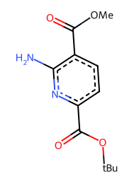 COC(=O)c1ccc(C(=O)OC(C)(C)C)nc1N